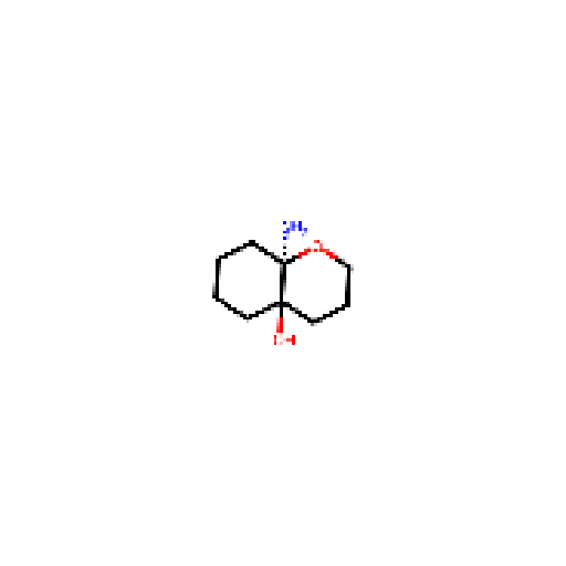 N[C@@]12CCCCC1(O)CCCO2